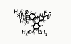 [2H]N(C)S(=O)(=O)c1ccc(-n2nc(C(F)(F)F)cc2-c2ccc(CC)c(C)c2)cc1C